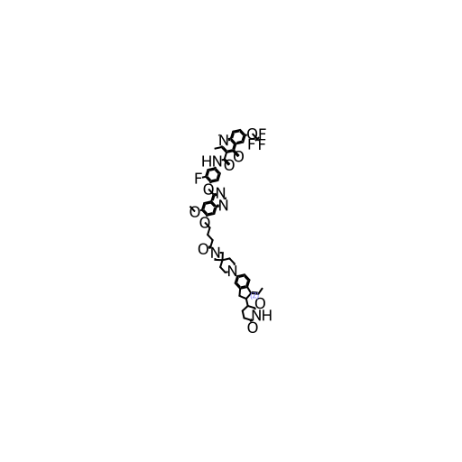 C/C=C1\c2ccc(N3CCC4(CC3)CN(C(=O)CCCOc3cc5ncnc(Oc6ccc(NC(=O)c7c(C)n(C)c8ccc(OC(F)(F)F)cc8c7=O)cc6F)c5cc3OC)C4)cc2CC1C1CCC(=O)NC1=O